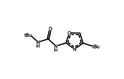 CC(C)(C)NC(=O)Nc1nc(C(C)(C)C)co1